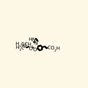 C[Si](C)(C)CCOCOc1ccc(C=CC(=O)O)cc1.c1c[nH]cn1